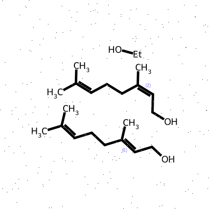 CC(C)=CCC/C(C)=C/CO.CC(C)=CCC/C(C)=C\CO.CCO